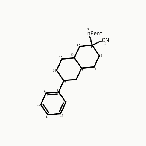 CCCCCC1(C#N)CCC2CC(c3ccccc3)CCC2C1